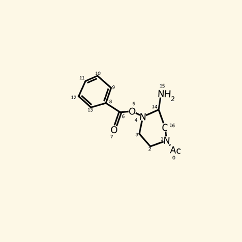 CC(=O)N1CCN(OC(=O)c2ccccc2)C(N)C1